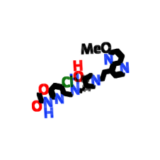 COc1ccc2nccc(CCN3C[C@H](CNCc4nc5c(cc4Cl)OCC(=O)N5)[C@H](O)C3)c2n1